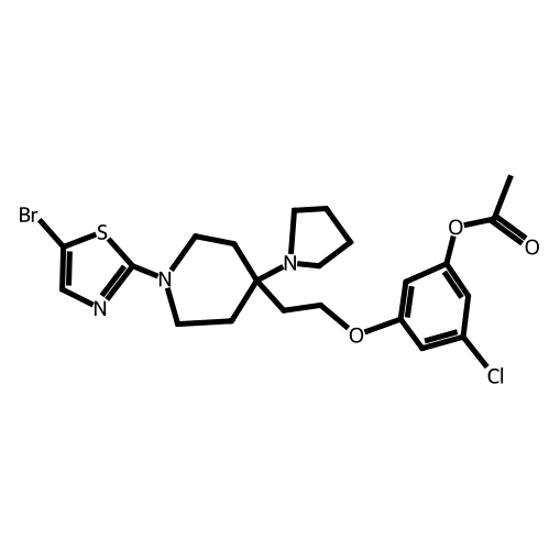 CC(=O)Oc1cc(Cl)cc(OCCC2(N3CCCC3)CCN(c3ncc(Br)s3)CC2)c1